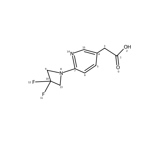 O=C(O)Cc1ccc(N2CC(F)(F)C2)nc1